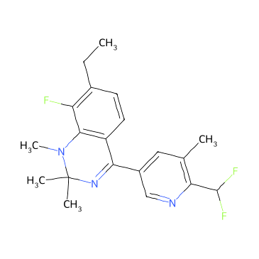 CCc1ccc2c(c1F)N(C)C(C)(C)N=C2c1cnc(C(F)F)c(C)c1